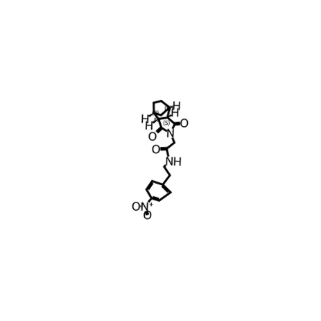 O=C(CN1C(=O)[C@@H]2[C@@H]3CC[C@@H](C3)[C@@H]2C1=O)NCCc1ccc([N+](=O)[O-])cc1